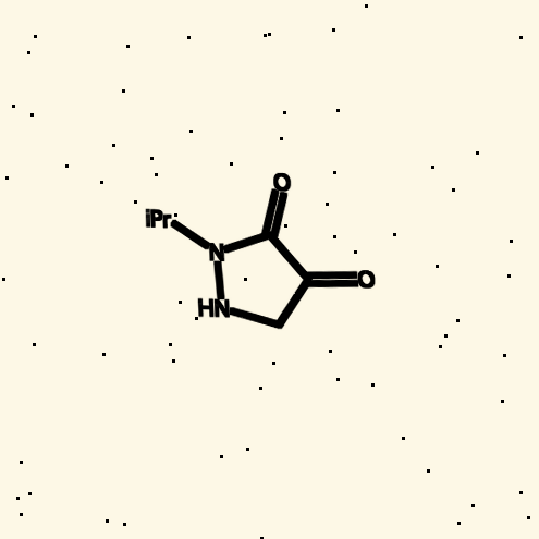 CC(C)N1NCC(=O)C1=O